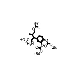 CC(C)C(=O)OCC(C)C(c1ccc(OC(=O)OC(C)(C)C)c(OC(=O)OC(C)(C)C)c1)[C@H](N)C(=O)O